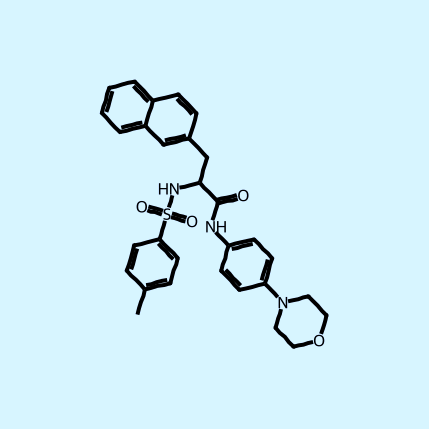 Cc1ccc(S(=O)(=O)NC(Cc2ccc3ccccc3c2)C(=O)Nc2ccc(N3CCOCC3)cc2)cc1